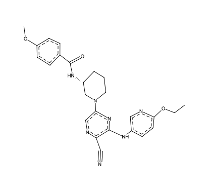 CCOc1ccc(Nc2nc(N3CCC[C@@H](NC(=O)c4ccc(OC)cc4)C3)cnc2C#N)cn1